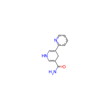 NC(=O)C1=CNC=C(c2ccccn2)C1